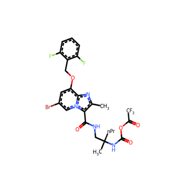 CCCC(C)(CNC(=O)c1c(C)nc2c(OCc3c(F)cccc3F)cc(Br)cn12)NC(=O)OC(=O)C(F)(F)F